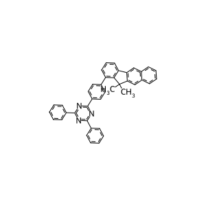 CC1(C)c2cc3ccccc3cc2-c2cccc(-c3ccc(-c4nc(-c5ccccc5)nc(-c5ccccc5)n4)cc3)c21